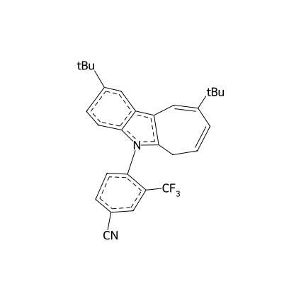 CC(C)(C)C1=Cc2c(n(-c3ccc(C#N)cc3C(F)(F)F)c3ccc(C(C)(C)C)cc23)CC=C1